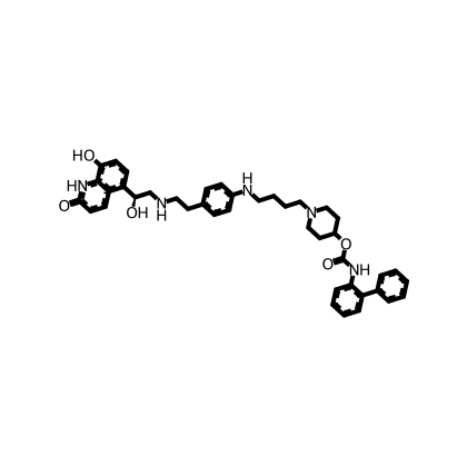 O=C(Nc1ccccc1-c1ccccc1)OC1CCN(CCCCNc2ccc(CCNC[C@@H](O)c3ccc(O)c4[nH]c(=O)ccc34)cc2)CC1